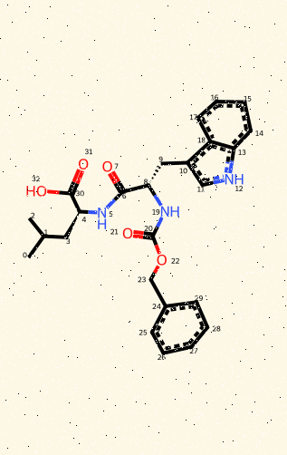 CC(C)C[C@H](NC(=O)[C@H](Cc1c[nH]c2ccccc12)NC(=O)OCc1ccccc1)C(=O)O